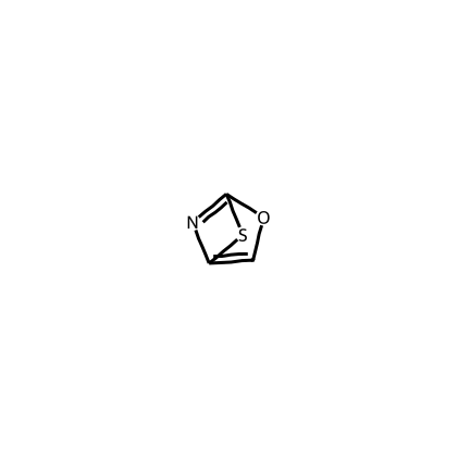 c1oc2nc1S2